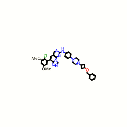 COc1cc(OC)c(Cl)c(-c2cc3cnc(Nc4ccc(N5CCN(C6CC(OCc7ccccc7)C6)CC5)cc4)nc3n3cnnc23)c1